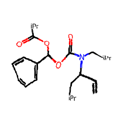 C=CC(CC(C)C)N(CC(C)C)C(=O)OC(OC(=O)C(C)C)c1ccccc1